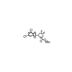 Cn1c(C2CN(C(=O)OC(C)(C)C)CC(F)(F)C2)nc2c(Cl)nc(Cl)cc21